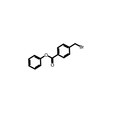 O=C(Oc1ccccc1)c1ccc(CBr)cc1